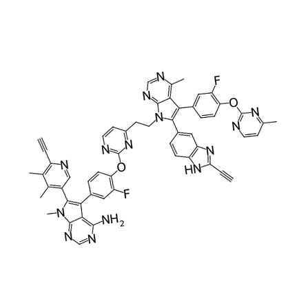 C#Cc1nc2cc(-c3c(-c4ccc(Oc5nccc(C)n5)c(F)c4)c4c(C)ncnc4n3CCc3ccnc(Oc4ccc(-c5c(-c6cnc(C#C)c(C)c6C)n(C)c6ncnc(N)c56)cc4F)n3)ccc2[nH]1